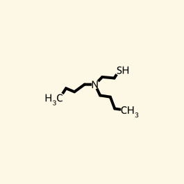 CCCCN(CCS)CCCC